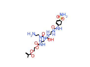 C=C(C)C(=O)OCCOC(=O)NCCN(C(=O)NCCN)C(O)NCCNC(=O)NC1=CC=C(S(N)(=O)=O)CC1